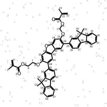 C=C(C)C(=O)OCCOc1cc2oc3cc(OCOC(=O)C(=C)C)c(-c4ccc5c(c4)C(C)(C)c4ccccc4-5)cc3c2cc1-c1ccc2c(c1)C(C)(C)c1ccccc1-2